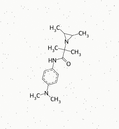 CC1C(C)N1C(C)(C)C(=O)Nc1ccc(N(C)C)cc1